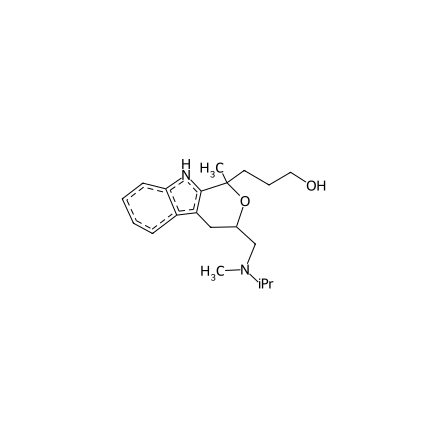 CC(C)N(C)CC1Cc2c([nH]c3ccccc23)C(C)(CCCO)O1